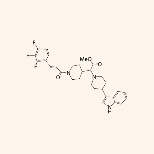 COC(=O)C(C1CCN(C(=O)C=Cc2ccc(F)c(F)c2F)CC1)N1CCC(c2c[nH]c3ccccc23)CC1